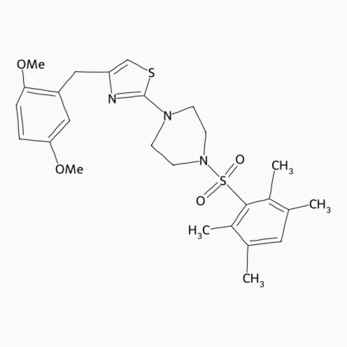 COc1ccc(OC)c(Cc2csc(N3CCN(S(=O)(=O)c4c(C)c(C)cc(C)c4C)CC3)n2)c1